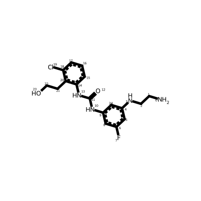 NCCNc1cc(F)cc(NC(=O)Nc2cccc(Cl)c2CCO)c1